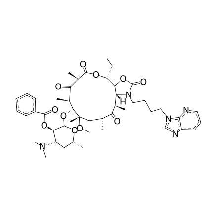 CC[C@H]1OC(=O)[C@H](C)C(=O)[C@H](C)[C@@H](OC2O[C@H](C)C[C@H](N(C)C)[C@H]2OC(=O)c2ccccc2)[C@@](C)(OC)C[C@@H](C)C(=O)[C@H](C)[C@@H]2C1OC(=O)N2CCCCn1cnc2cccnc21